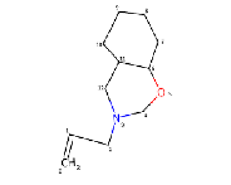 C=CCN1COC2CCCCC2C1